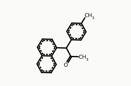 CC(=O)C(c1ccc(C)cc1)c1cccc2ccccc12